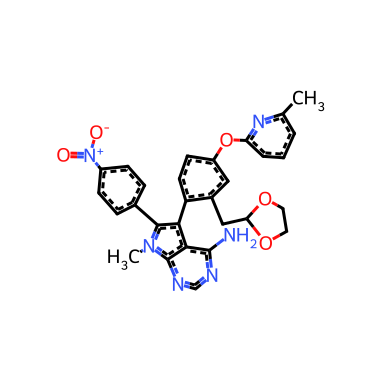 Cc1cccc(Oc2ccc(-c3c(-c4ccc([N+](=O)[O-])cc4)n(C)c4ncnc(N)c34)c(CC3OCCO3)c2)n1